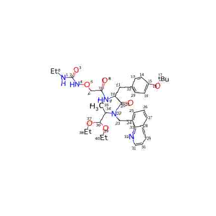 CCNC(=O)NOCC(=O)NC(Cc1ccc(OC(C)(C)C)cc1)C(=O)N(Cc1cccc2cccnc12)C(C)C(OCC)OCC